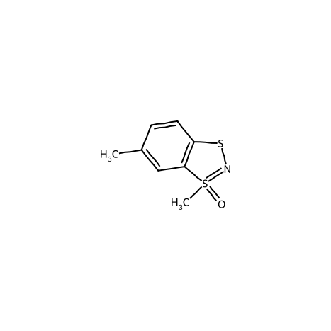 Cc1ccc2c(c1)S(C)(=O)=NS2